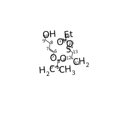 C=C(C)C(=O)OC=CCCO.C=CCSOC(=O)CC